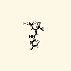 Cc1csc(N/C=C(\CC(=O)O)C(=O)O)n1